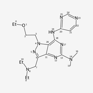 CCOCCn1nc(CN(CC)CC)c2nc(N(C)C)nc(Nc3ccncn3)c21